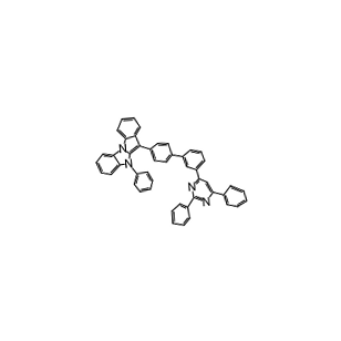 c1ccc(-c2cc(-c3cccc(-c4ccc(-c5c6ccccc6n6c7ccccc7n(-c7ccccc7)c56)cc4)c3)nc(-c3ccccc3)n2)cc1